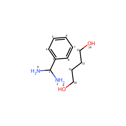 NC(N)c1ccccc1.OCCCCO